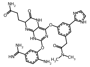 CN(C)C(=O)Cc1cc(OC2=C3NC(=O)C(CCC(N)=O)N=C3NC(Oc3cc(C(=N)N)ccc3N)=N2)cc(-c2ncc[nH]2)c1